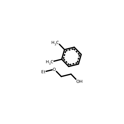 CCOCCO.Cc1ccccc1C